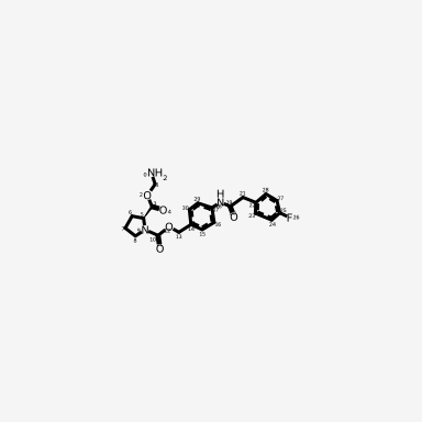 NCOC(=O)[C@@H]1CCCN1C(=O)OCc1ccc(NC(=O)Cc2ccc(F)cc2)cc1